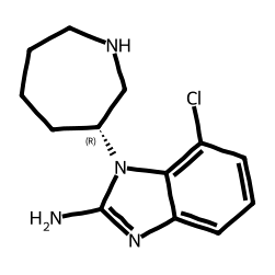 Nc1nc2cccc(Cl)c2n1[C@@H]1CCCCNC1